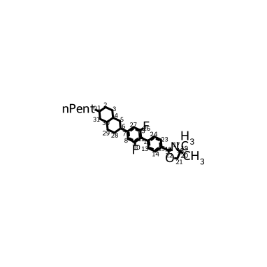 CCCCCC1CCC2CC(c3cc(F)c(-c4ccc(C5=NC(C)(C)CO5)cc4)c(F)c3)CCC2C1